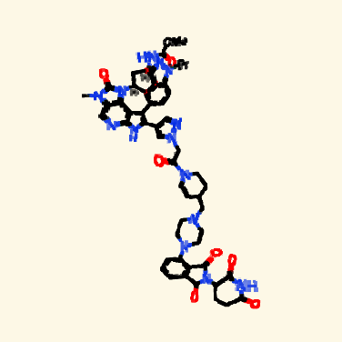 COC(=O)N[C@@H]1CC[C@@H](n2c(=O)n(C)c3cnc4[nH]c(-c5cnn(CC(=O)N6CCC(CN7CCN(c8cccc9c8C(=O)N(C8CCC(=O)NC8=O)C9=O)CC7)CC6)c5)c(-c5ccc6c(cnn6C(C)C)c5)c4c32)C1